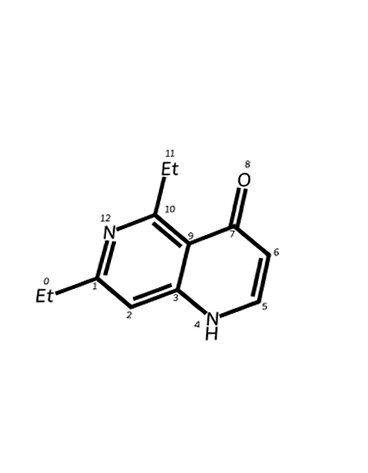 CCc1cc2[nH]ccc(=O)c2c(CC)n1